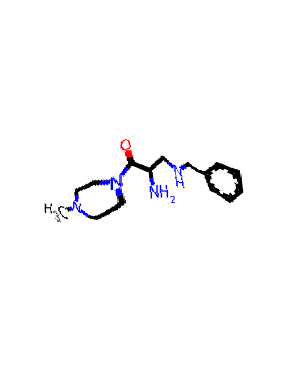 CN1CCN(C(=O)C(N)CNCc2ccccc2)CC1